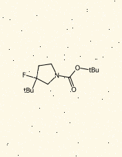 CC(C)(C)OC(=O)N1CCC(F)(C(C)(C)C)C1